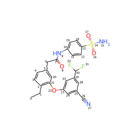 CCc1ccc(CC(=O)Nc2ccc(S(N)(=O)=O)cc2)cc1Oc1cc(C#N)cc(C(F)F)c1